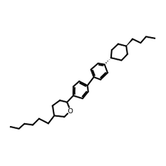 CCCCCCC1CCC(c2ccc(-c3ccc([C@H]4CC[C@H](CCCC)CC4)cc3)cc2)OC1